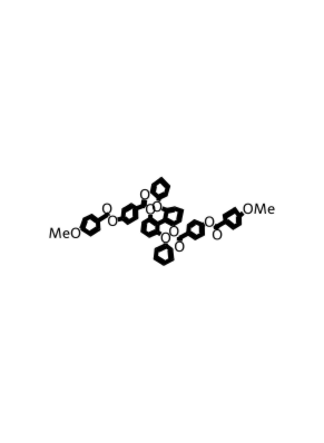 COc1ccc(C(=O)Oc2ccc(C(=O)Oc3cccc(Oc4ccccc4)c3-c3c(OC(=O)c4ccc(OC(=O)c5ccc(OC)cc5)cc4)cccc3Oc3ccccc3)cc2)cc1